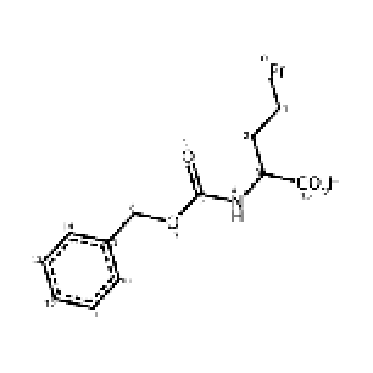 CC(C)CCC(NC(=O)OCc1ccccc1)C(=O)O